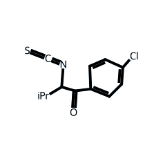 CC(C)C(N=C=S)C(=O)c1ccc(Cl)cc1